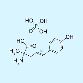 CC(N)(C/C=C/c1ccc(O)cc1)C(=O)O.O=P(O)(O)O